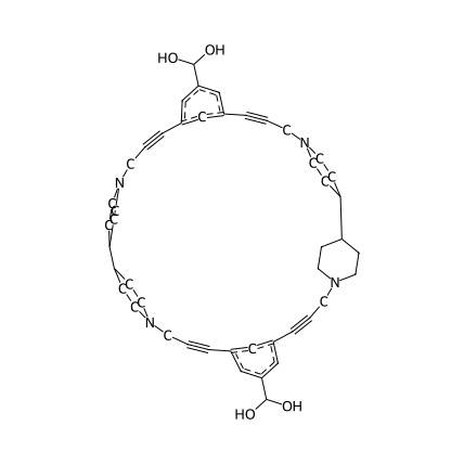 OC(O)c1cc2cc(c1)C#CCN1CCC(CC1)C1CCN(CC#Cc3cc(cc(C(O)O)c3)C#CCN3CCC(CC3)C3CCN(CC#C2)CC3)CC1